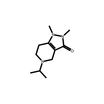 CC(C)N1CCc2c(c(=O)n(C)n2C)C1